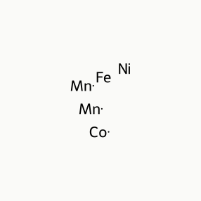 [Co].[Fe].[Mn].[Mn].[Ni]